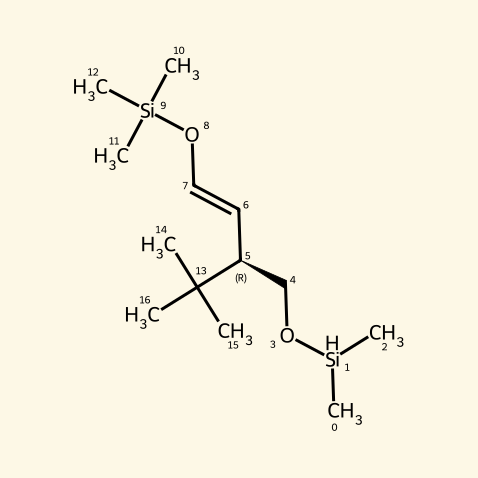 C[SiH](C)OC[C@H](C=CO[Si](C)(C)C)C(C)(C)C